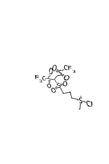 CS(C)(Cl)CCCS(=O)(=O)C(S(=O)(=O)C(F)(F)F)S(=O)(=O)C(F)(F)F